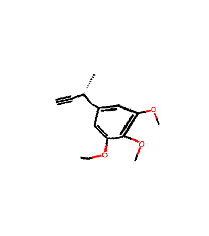 C#C[C@H](C)c1cc(OC)c(OC)c(OC)c1